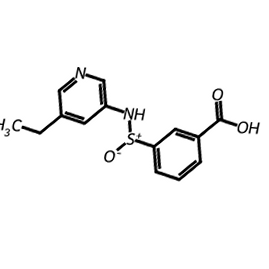 CCc1cncc(N[S+]([O-])c2cccc(C(=O)O)c2)c1